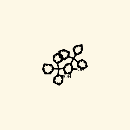 Oc1cc(O)c(C(c2ccccc2)(c2ccccc2)c2ccccc2)cc1C(c1ccccc1)(c1ccccc1)c1ccccc1